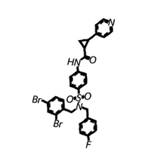 O=C(Nc1ccc(S(=O)(=O)N(Cc2ccc(F)cc2)Cc2ccc(Br)cc2Br)cc1)C1CC1c1ccncc1